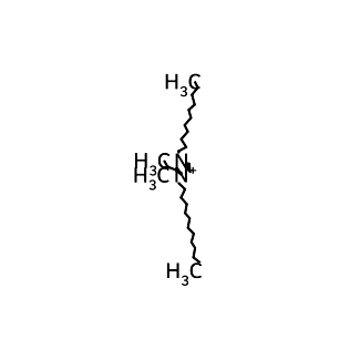 CCCCCCCCCCCCC[n+]1ccn(CCCCCCCCCCC)c1C(C)C